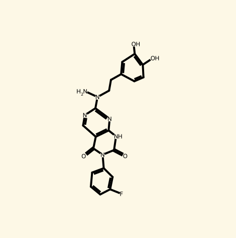 NN(CCc1ccc(O)c(O)c1)c1ncc2c(=O)n(-c3cccc(F)c3)c(=O)[nH]c2n1